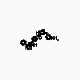 NC1CCCN(Cc2ccnc(C(=O)Nc3ccc(-c4cc5c(N6CCCCC6)ncnc5[nH]4)cc3)c2)C1